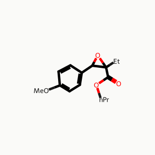 CCCOC(=O)C1(CC)OC1c1ccc(OC)cc1